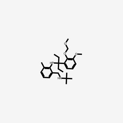 CCC(CC)(Pc1c(C)cccc1CNC(C)(C)C)c1cccc(OC)c1OCOC